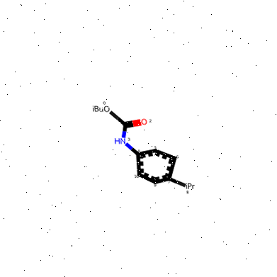 CC(C)COC(=O)Nc1ccc(C(C)C)cc1